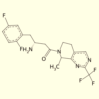 CC1c2nc(C(F)(F)F)ncc2CCN1C(=O)C[C@H](N)Cc1cc(F)ccc1F